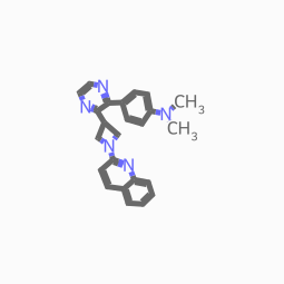 CN(C)c1ccc(-c2nccnc2C2CN(c3ccc4ccccc4n3)C2)cc1